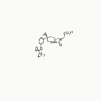 CN(C)[C@]1(c2cccc(OC(=O)C(F)(F)F)c2)CC[C@]2(CC1)CN(CC(=O)O)C(=O)N2